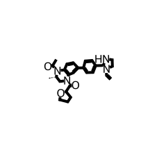 C=CN1CCNC1c1ccc(-c2ccc3c(c2)N(C(=O)C2CCCO2)C[C@H](C)N3C(C)=O)cc1